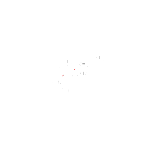 C=Cc1ccnc(OC2C[C@H]3CC[C@@H](C2)N3C(=O)OC(C)(C)C)c1